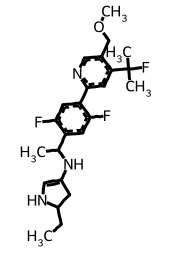 CCC1CC(NC(C)c2cc(F)c(-c3cc(C(C)(C)F)c(COC)cn3)cc2F)=CN1